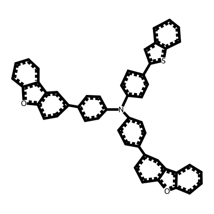 c1ccc2sc(-c3ccc(N(c4ccc(-c5ccc6oc7ccccc7c6c5)cc4)c4ccc(-c5ccc6oc7ccccc7c6c5)cc4)cc3)cc2c1